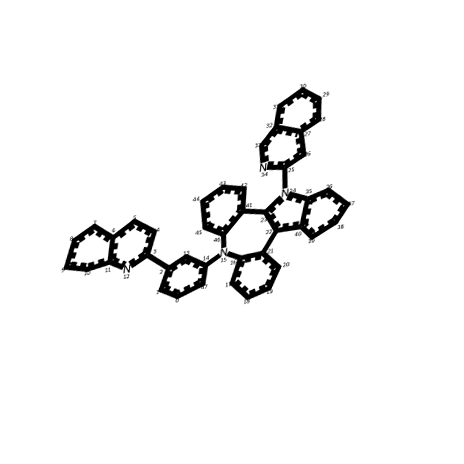 c1cc(-c2ccc3ccccc3n2)cc(N2c3ccccc3-c3c(n(-c4cc5ccccc5cn4)c4ccccc34)-c3ccccc32)c1